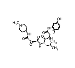 CC(C)C[C@H](NC(=O)C1O[C@H]1C(=O)NN1CCN(C)CC1)C(=O)N[C@@H](Cc1ccc(O)cc1)C(N)=O